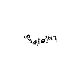 CC(C)(C)OC(=O)NCc1ccc(CNC(=O)c2cn(Cc3ccc(Cn4ccccc4=O)cc3)nn2)cc1